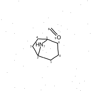 C1CC2CCC(C1)N2.C=O